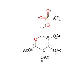 CC(=O)OC1OC(COS(=O)(=O)C(F)(F)F)C(OC(C)=O)C(OC(C)=O)C1OC(C)=O